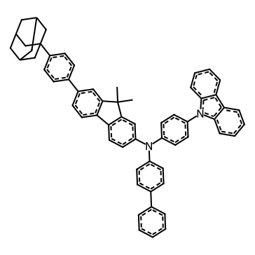 CC1(C)c2cc(-c3ccc(C45CC6CC(CC(C6)C4)C5)cc3)ccc2-c2ccc(N(c3ccc(-c4ccccc4)cc3)c3ccc(-n4c5ccccc5c5ccccc54)cc3)cc21